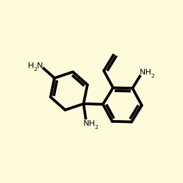 C=Cc1c(N)cccc1C1(N)C=CC(N)=CC1